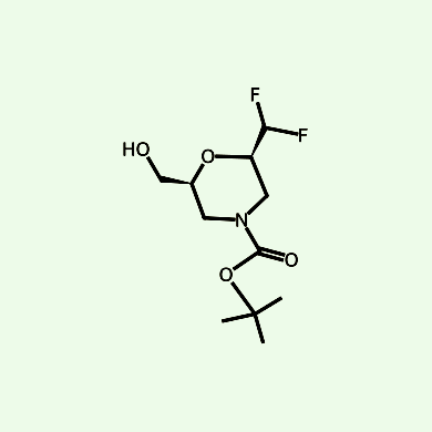 CC(C)(C)OC(=O)N1C[C@@H](CO)O[C@@H](C(F)F)C1